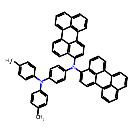 Cc1ccc(N(c2ccc(C)cc2)c2ccc(N(c3ccc4c5cccc6cccc(c7cccc3c74)c65)c3ccc4c5cccc6cccc(c7cccc3c74)c65)cc2)cc1